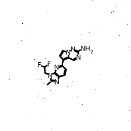 Cc1nc2ccc(-c3ccn4nc(N)ncc34)nc2n1CC(F)F